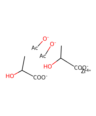 CC(=O)[O-].CC(=O)[O-].CC(O)C(=O)[O-].CC(O)C(=O)[O-].[Zr+4]